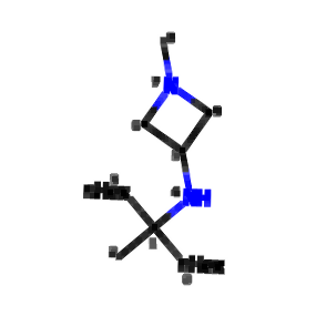 CCCCCCC(C)(CCCCCC)NC1CN(C)C1